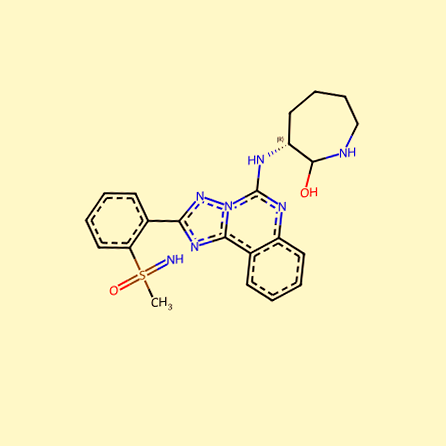 CS(=N)(=O)c1ccccc1-c1nc2c3ccccc3nc(N[C@@H]3CCCCNC3O)n2n1